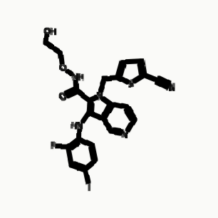 N#Cc1ccc(Cn2c(C(=O)NOCCO)c(Nc3ccc(I)cc3F)c3cnccc32)s1